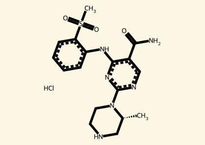 C[C@@H]1CNCCN1c1ncc(C(N)=O)c(Nc2ccccc2S(C)(=O)=O)n1.Cl